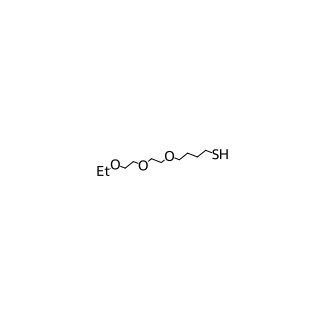 CCOCCOCCOCCCCS